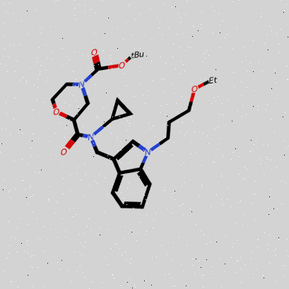 CCOCCCn1cc(CN(C(=O)C2CN(C(=O)OC(C)(C)C)CCO2)C2CC2)c2ccccc21